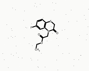 CCOC(=O)CN1C(=O)CSc2ccc(F)cc21